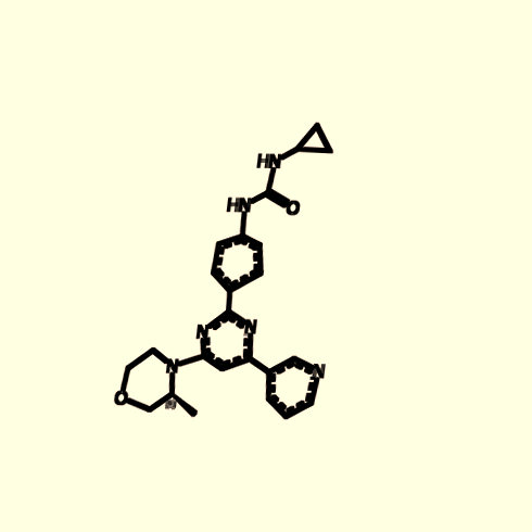 C[C@H]1COCCN1c1cc(-c2cccnc2)nc(-c2ccc(NC(=O)NC3CC3)cc2)n1